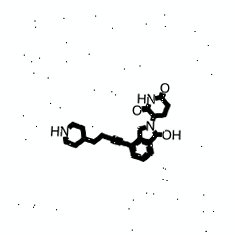 O=C1CCC(N2Cc3c(C#CCCC4CCNCC4)cccc3C2O)C(=O)N1